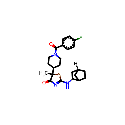 CC1(C2CCN(C(=O)c3ccc(F)cc3)CC2)SC(N[C@H]2C[C@@H]3CCC2C3)=NC1=O